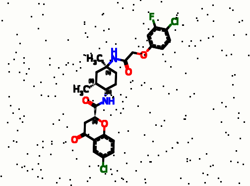 C[C@@H]1C[C@@](C)(NC(=O)COc2ccc(Cl)c(F)c2)CC[C@@H]1NC(=O)[C@H]1CC(=O)c2cc(Cl)ccc2O1